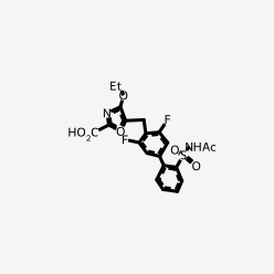 CCOc1nc(C(=O)O)oc1Cc1c(F)cc(-c2ccccc2S(=O)(=O)NC(C)=O)cc1F